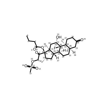 CCCC(=O)O[C@]1(C(=O)COS(C)(=O)=O)[C@@H](C)C[C@H]2[C@@H]3CC[C@@H]4CC(=O)CC[C@]4(C)[C@@]3(F)[C@@H](O)C[C@@]21C